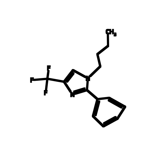 CCCCn1cc(C(F)(F)F)nc1-c1ccccc1